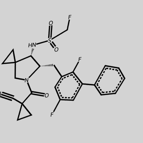 N#CC1(C(=O)N2CC3(CC3)[C@H](NS(=O)(=O)CF)[C@@H]2Cc2cc(F)cc(-c3ccccc3)c2F)CC1